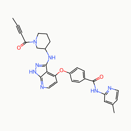 CC#CC(=O)N1CCCC(Nc2n[nH]c3nccc(Oc4ccc(C(=O)Nc5cc(C)ccn5)cc4)c23)C1